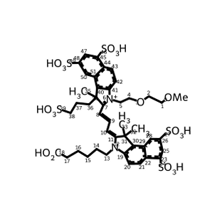 COCCOCC[N+]1=C(/C=C/C=C2/N(CCCCCC(=O)O)c3ccc4c(S(=O)(=O)O)cc(S(=O)(=O)O)cc4c3C2(C)C)C(C)(CCCS(=O)(=O)O)c2c1ccc1c(S(=O)(=O)O)cc(S(=O)(=O)O)cc21